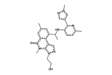 Cc1cc(C(C)Nc2ccc(C)nc2-c2cnn(C)c2)c2c(c1)c(=O)n(C)c1c2cnn1CCO